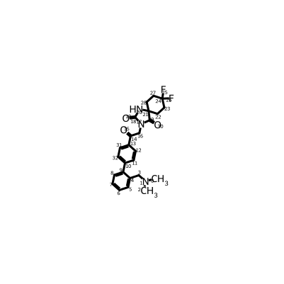 CN(C)Cc1ccccc1-c1ccc(C(=O)CN2C(=O)NC3(CCC(F)(F)CC3)C2=O)cc1